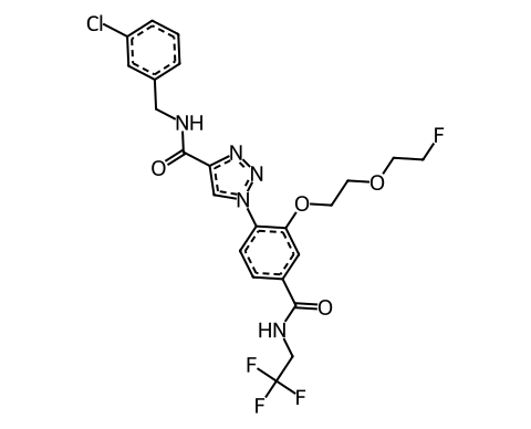 O=C(NCC(F)(F)F)c1ccc(-n2cc(C(=O)NCc3cccc(Cl)c3)nn2)c(OCCOCCF)c1